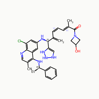 C=C(/C=C\C=C(/C)C(=O)N1CC(O)C1)[C@H](Nc1cc(Cl)c2ncc(C#N)c(N[C@H](CC)c3ccccc3)c2c1)C1=CNNN1